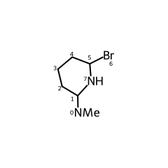 CNC1CCCC(Br)N1